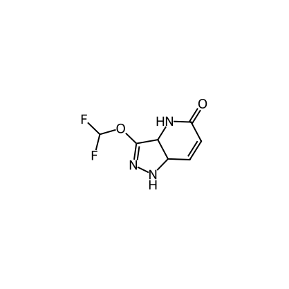 O=C1C=CC2NN=C(OC(F)F)C2N1